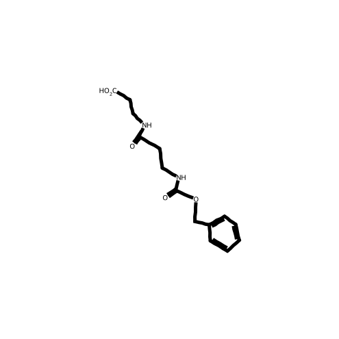 O=C(O)CCNC(=O)CCNC(=O)OCc1ccccc1